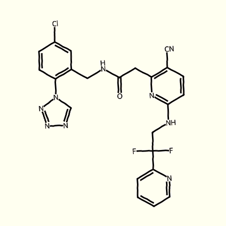 N#Cc1ccc(NCC(F)(F)c2ccccn2)nc1CC(=O)NCc1cc(Cl)ccc1-n1cnnn1